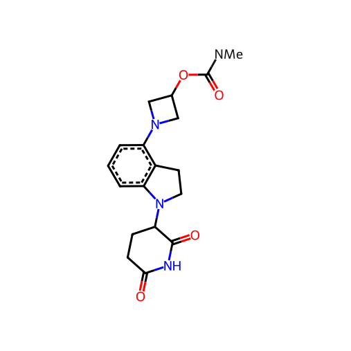 CNC(=O)OC1CN(c2cccc3c2CCN3C2CCC(=O)NC2=O)C1